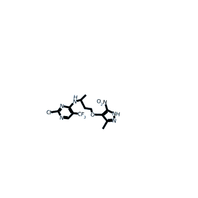 Cc1n[nH]c([N+](=O)[O-])c1OCCC(C)Nc1nc(Cl)ncc1C(F)(F)F